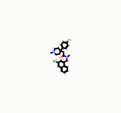 CN1CCC(CC(=O)N(C)Cc2cc(Br)cc3ccccc23)(c2ccc(F)cc2)CC1